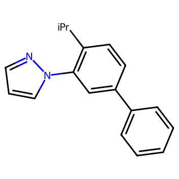 CC(C)c1ccc(-c2ccccc2)cc1-n1cccn1